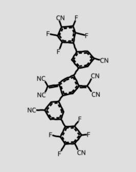 N#CC(C#N)=c1cc(-c2cc(C#N)cc(-c3c(F)c(F)c(C#N)c(F)c3F)c2)c(=C(C#N)C#N)cc1-c1cc(C#N)cc(-c2c(F)c(F)c(C#N)c(F)c2F)c1